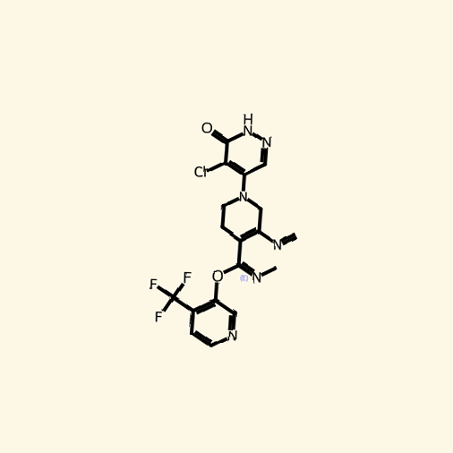 C=NC1=C(/C(=N\C)Oc2cnccc2C(F)(F)F)CCN(c2cn[nH]c(=O)c2Cl)C1